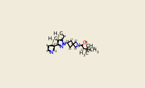 CCc1c(C)c(-c2cccnc2)nn1C1CC2(C1)CN(C(=O)CC(C)(C)C)C2